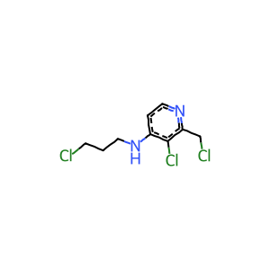 ClCCCNc1ccnc(CCl)c1Cl